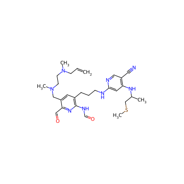 C=CCN(C)CCN(C)Cc1cc(CCCNc2cc(NC(C)CSC)c(C#N)cn2)c(NC=O)nc1C=O